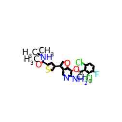 C[C@@H](Oc1c(N)ncc2c(-c3csc(C(=O)NC(C)(C)C)c3)coc12)c1c(Cl)ccc(F)c1Cl